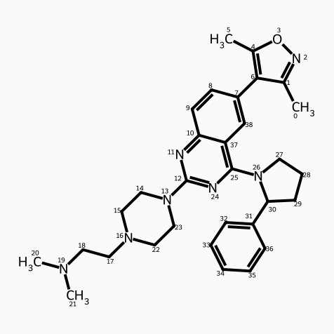 Cc1noc(C)c1-c1ccc2nc(N3CCN(CCN(C)C)CC3)nc(N3CCCC3c3ccccc3)c2c1